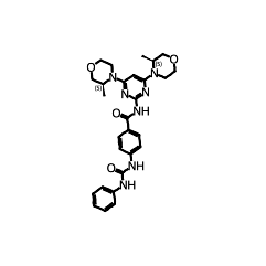 C[C@H]1COCCN1c1cc(N2CCOC[C@@H]2C)nc(NC(=O)c2ccc(NC(=O)Nc3ccccc3)cc2)n1